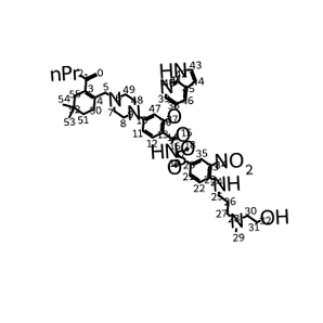 C=C(CCC)C1=C(CN2CCN(c3ccc(C(=O)NS(=O)(=O)c4ccc(NCCCN(C)CCO)c([N+](=O)[O-])c4)c(Oc4cnc5[nH]ccc5c4)c3)CC2)CCC(C)(C)C1